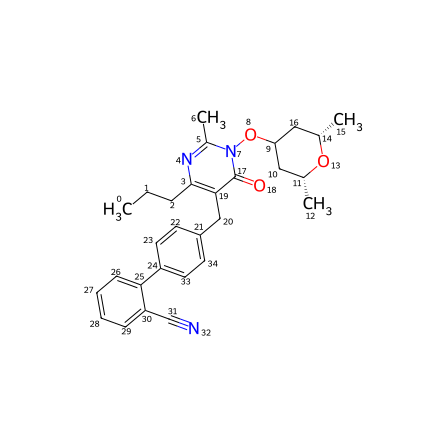 CCCc1nc(C)n(OC2C[C@@H](C)O[C@@H](C)C2)c(=O)c1Cc1ccc(-c2ccccc2C#N)cc1